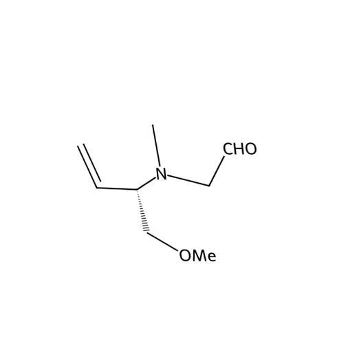 C=C[C@@H](COC)N(C)CC=O